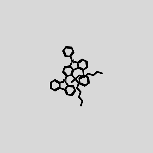 CCCCCCC(C)(CCCCCC)c1c(-n2c3ccccc3c3ccccc32)ccc2c1c1c(-c3ccccc3)cccc1n2-c1ccccc1